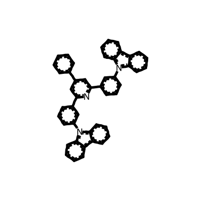 c1ccc(-c2cc(-c3cccc(-n4c5ccccc5c5ccccc54)c3)nc(-c3cccc(-n4c5ccccc5c5ccccc54)c3)c2)cc1